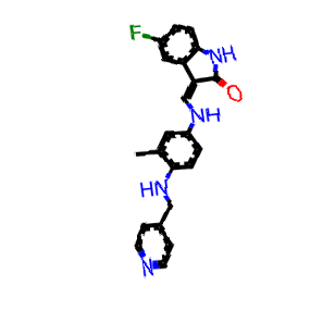 Cc1cc(NC=C2C(=O)Nc3ccc(F)cc32)ccc1NCc1ccncc1